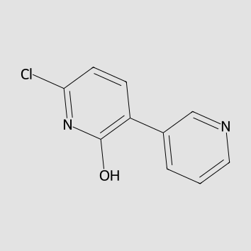 Oc1nc(Cl)ccc1-c1cccnc1